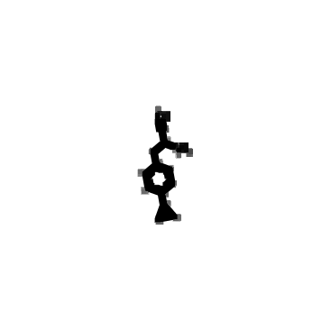 C#CC(N)Cc1ccc(C2CC2)cc1